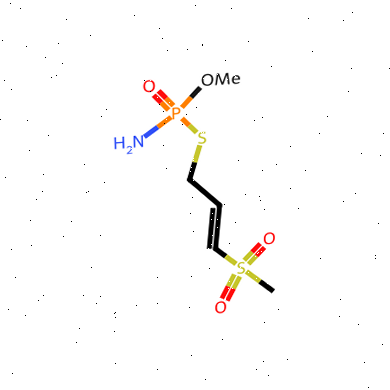 COP(N)(=O)SCC=CS(C)(=O)=O